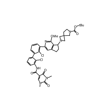 COc1nc(-c2cccc(-c3cccc(NC(=O)c4cn(C)c(=O)n(C)c4=O)c3Cl)c2Cl)cc2c1C(N1CC3(CCN(C(=O)OC(C)(C)C)C3)C1)CC2